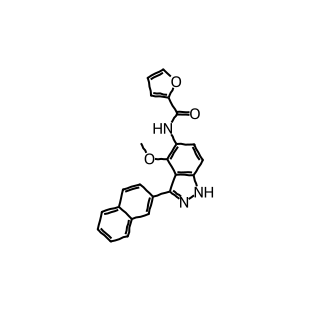 COc1c(NC(=O)c2ccco2)ccc2[nH]nc(-c3ccc4ccccc4c3)c12